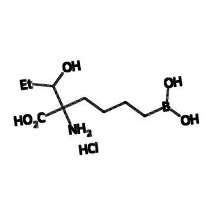 CCC(O)C(N)(CCCCB(O)O)C(=O)O.Cl